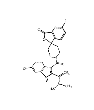 C=C(c1[nH]c2cc(Cl)ccc2c1C(=O)N1CCC2(CC1)OC(=O)c1cc(F)ccc12)N(C)C